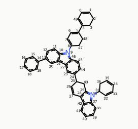 C1=CCCC(C2=CC=C(n3c4ccc(-c5ccccc5)cc4c4cc(C5C=Cc6c(n(C7C=CC=CC7)c7ccccc67)C5)ccc43)CC2)=C1